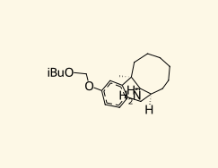 CC(C)COCOc1ccc2c(c1)[C@@]1(C)CCCCCC[C@@H](C2)[C@@H]1N